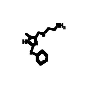 Cc1[nH]c(Sc2ccccc2)nc1CSCCN